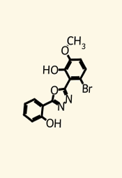 COc1ccc(Br)c(-c2nnc(-c3ccccc3O)o2)c1O